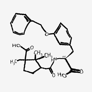 CC1(C(=O)O)CCC(C(=O)N[C@@H](Cc2cccc(OCc3ccccc3)c2)C(=O)O)C1(C)C